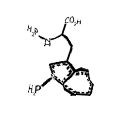 O=C(O)C(Cc1cn(P)c2ccccc12)NP